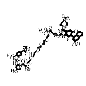 CCC(=O)N1CCN(c2nc(NCCC(=O)N(C)CCOCCOCCOCCOCC(=O)N[C@H](C(=O)N3C[C@H](O)C[C@H]3C(=O)N[C@@H](C)c3ccc(-c4scnc4C)cc3)C(C)(C)C)nc3c(F)c(-c4cc(O)cc5ccccc45)c(Cl)cc23)CC1